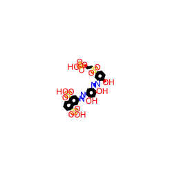 O=S(=O)(O)OCCS(=O)(=O)c1ccc(O)c(/N=N/c2cc(/N=N/c3cc(S(=O)(=O)O)c4cccc(S(=O)(=O)O)c4c3)c(O)cc2O)c1